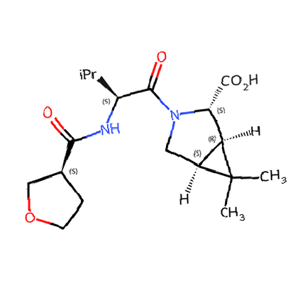 CC(C)[C@H](NC(=O)[C@H]1CCOC1)C(=O)N1C[C@H]2[C@@H]([C@H]1C(=O)O)C2(C)C